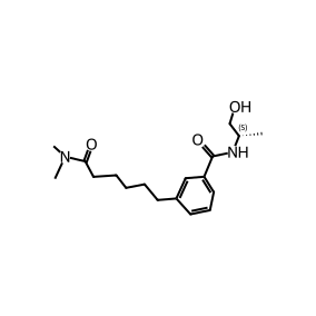 C[C@@H](CO)NC(=O)c1cccc(CCCCCC(=O)N(C)C)c1